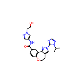 CC(C)n1ncnc1-n1cc2c(n1)-c1cc(C(=O)Nc3cnn(CCO)c3)ccc1OCC2